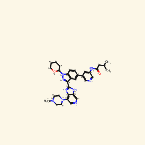 CC(C)CC(=O)Nc1cncc(-c2ccc3c(c2)c(-c2nc4c(N5CCN(C)CC5)cncc4[nH]2)nn3C2CCCCO2)c1